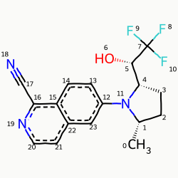 C[C@H]1CC[C@@H]([C@H](O)C(F)(F)F)N1c1ccc2c(C#N)nccc2c1